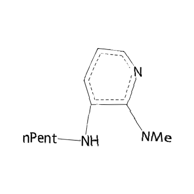 CCCCCNc1cccnc1NC